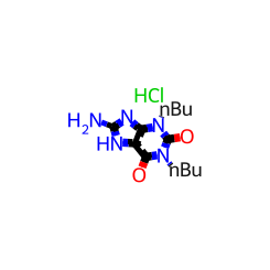 CCCCn1c(=O)c2[nH]c(N)nc2n(CCCC)c1=O.Cl